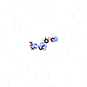 C=CC(=O)N1CCN(c2ccc3ncnc(Nc4ccc(Oc5ccn6ncnc6c5)c(C)c4F)c3n2)C[C@@H]1C(C)(C)C